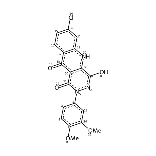 COc1ccc(-n2nc(O)c3[nH]c4cc(Cl)ccc4c(=O)c3c2=O)cc1OC